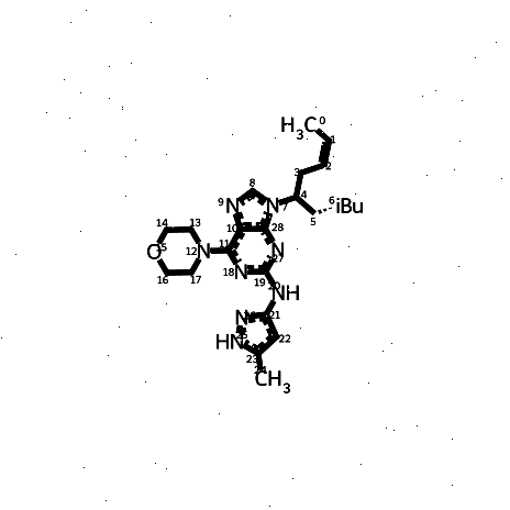 C/C=C\CC(C[C@@H](C)CC)n1cnc2c(N3CCOCC3)nc(Nc3cc(C)[nH]n3)nc21